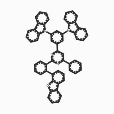 c1ccc(-c2cc(-c3cc(-n4c5ccccc5c5ccccc54)cc(-n4c5ccccc5c5ccccc54)c3)nc(-c3ccccc3-c3cccc4c3oc3ccccc34)n2)cc1